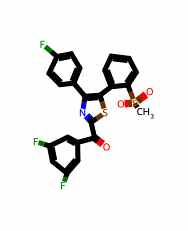 CS(=O)(=O)c1ccccc1-c1sc(C(=O)c2cc(F)cc(F)c2)nc1-c1ccc(F)cc1